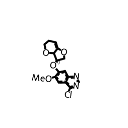 COc1cc2c(Cl)ncnc2cc1O[C@@H]1COC2=CCCOC21